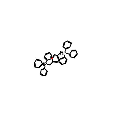 c1ccc([PH](Cc2ccc(C[PH](c3ccccc3)(c3ccccc3)c3ccccc3)cc2)(c2ccccc2)c2ccccc2)cc1